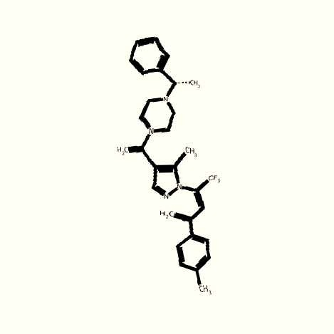 C=C(/C=C(\n1ncc(C(=C)N2CCN([C@@H](C)c3ccccc3)CC2)c1C)C(F)(F)F)c1ccc(C)cc1